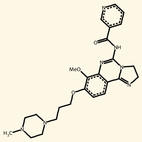 COc1c(OCCCN2CCN(C)CC2)ccc2c1N=C(NC(=O)c1cccnc1)N1CCN=C21